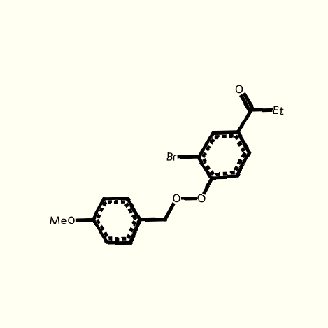 CCC(=O)c1ccc(OOCc2ccc(OC)cc2)c(Br)c1